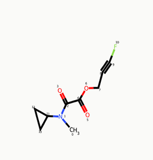 CN(C(=O)C(=O)OCC#CF)C1CC1